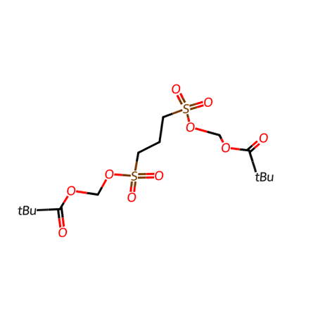 CC(C)(C)C(=O)OCOS(=O)(=O)CCCS(=O)(=O)OCOC(=O)C(C)(C)C